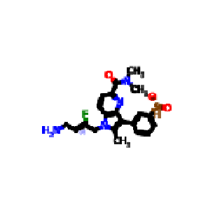 Cc1c(-c2cccc([SH](=O)=O)c2)c2nc(C(=O)N(C)C)ccc2n1C/C(F)=C/CN